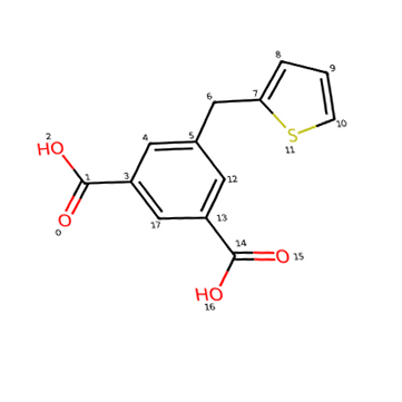 O=C(O)c1cc(Cc2cccs2)cc(C(=O)O)c1